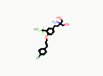 Cl.NC(CO)(CO)CCc1ccc(OCC=Cc2ccc(Cl)cc2)c(C(F)(F)F)c1